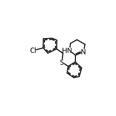 Clc1cccc(CSc2ccccc2C2=NCCCN2)c1